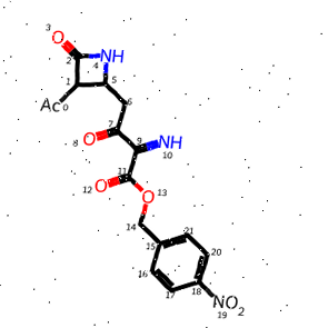 CC(=O)C1C(=O)NC1CC(=O)C(=N)C(=O)OCc1ccc([N+](=O)[O-])cc1